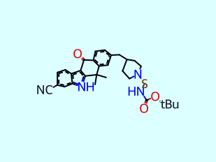 CC(C)(C)OC(=O)NSN1CCC(Cc2ccc3c(c2)C(C)(C)c2[nH]c4cc(C#N)ccc4c2C3=O)CC1